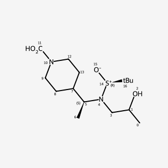 CC(O)CN([C@@H](C)C1CCN(C(=O)O)CC1)[S@@+]([O-])C(C)(C)C